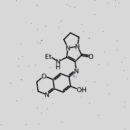 CCNc1c(/N=C2\C=C3OCCN=C3C=C2O)c(=O)n2n1CCC2